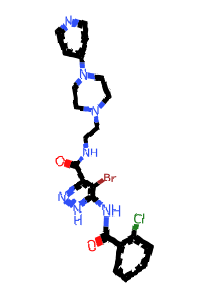 O=C(Nc1[nH]nc(C(=O)NCCN2CCN(c3ccncc3)CC2)c1Br)c1ccccc1Cl